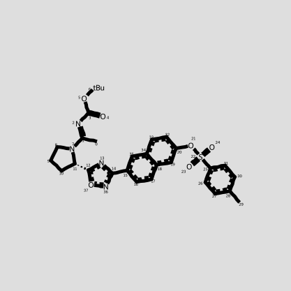 C/C(=N\C(=O)OC(C)(C)C)N1CCC[C@H]1c1nc(-c2ccc3cc(OS(=O)(=O)c4ccc(C)cc4)ccc3c2)no1